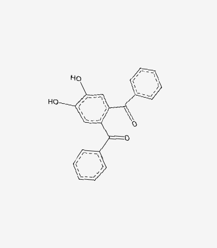 O=C(c1ccccc1)c1cc(O)c(O)cc1C(=O)c1ccccc1